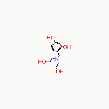 OCCN(CCO)Cc1ccc(O)cc1O